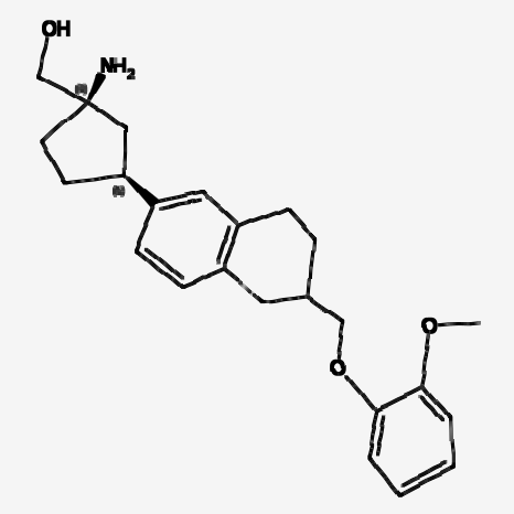 COc1ccccc1OCC1CCc2cc([C@H]3CC[C@](N)(CO)C3)ccc2C1